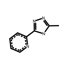 CC1=NN=C(c2ccccn2)[N]1